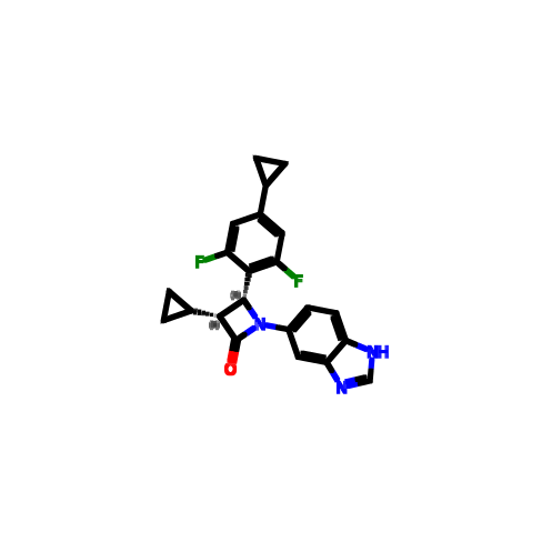 O=C1[C@H](C2CC2)[C@H](c2c(F)cc(C3CC3)cc2F)N1c1ccc2[nH]cnc2c1